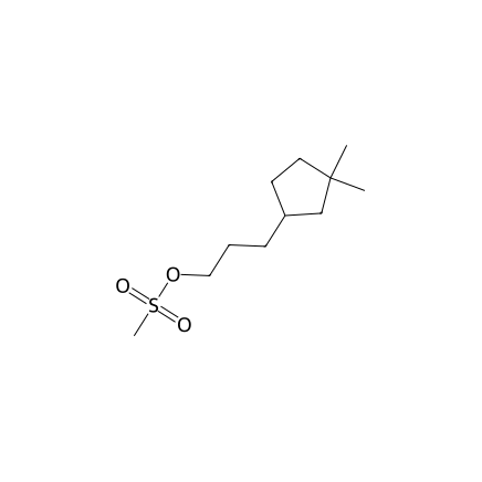 CC1(C)CCC(CCCOS(C)(=O)=O)C1